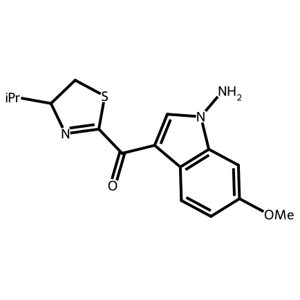 COc1ccc2c(C(=O)C3=NC(C(C)C)CS3)cn(N)c2c1